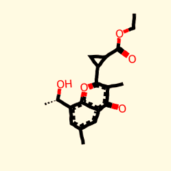 CCOC(=O)C1CC1c1oc2c([C@H](C)O)cc(C)cc2c(=O)c1C